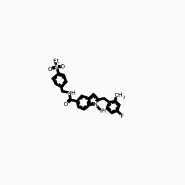 CCS(=O)(=O)c1ccc(CNC(=O)c2ccc3c(c2)cc(Cc2ccc(F)cc2C)n3C(C)C)cc1